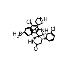 Bc1ccc(OC2CCNC2)c([C@H]2NC(=O)CC([C@@H]3C=CC=C(Cl)C3)[C@]23C(=O)Nc2cc(Cl)ccc23)c1